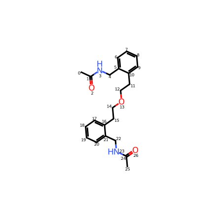 CC(=O)NCc1ccccc1CCOCCc1ccccc1CNC(C)=O